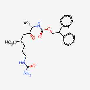 CC(C)[C@H](NC(=O)OCC1c2ccccc2-c2ccccc21)C(=O)C[C@@H](CCCNC(N)=O)C(=O)O